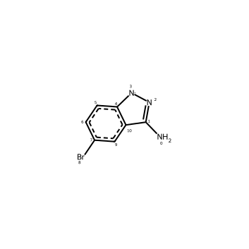 NC1=N[N]c2ccc(Br)cc21